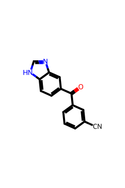 N#Cc1cccc(C(=O)c2ccc3[nH]cnc3c2)c1